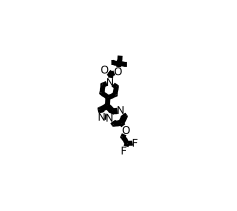 CC(C)(C)OC(=O)N1CCC(c2cnn3cc(OCC(F)F)cnc23)CC1